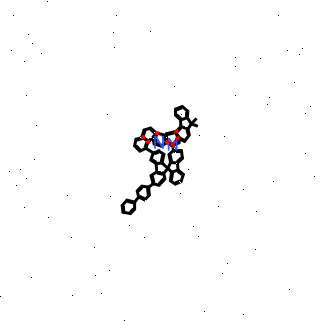 CC1(C)c2ccccc2-c2cc(N(c3ccccc3)c3ccc4c(c3)C3(c5ccccc5-4)c4ccc(-c5ccc(-c6ccccc6)cc5)cc4-c4cc(-c5ccccc5)c(N(c5ccccc5)c5ccccc5)cc43)ccc21